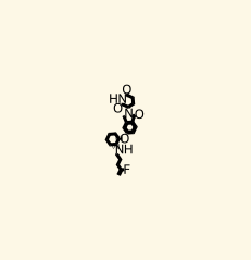 C=C(F)CCCN[C@@H]1CCCC[C@@H]1Oc1ccc2c(c1)CN(C1CCC(=O)NC1=O)C2=O